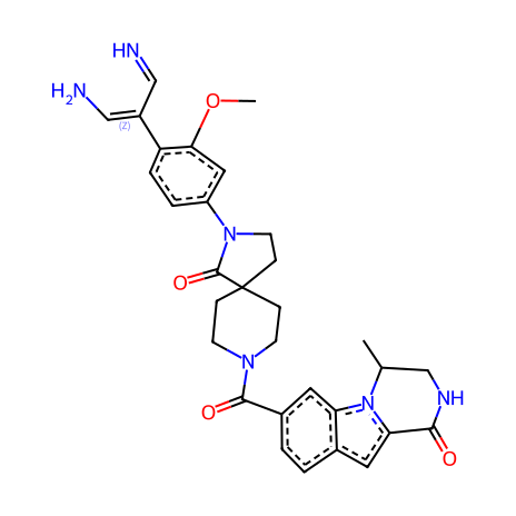 COc1cc(N2CCC3(CCN(C(=O)c4ccc5cc6n(c5c4)C(C)CNC6=O)CC3)C2=O)ccc1/C(C=N)=C/N